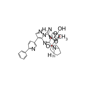 CS(=O)(=O)c1c(C2CC3CC[C@@H](C2)N3C(=O)c2ccc(O)cn2)nc2c(-c3ccc(-c4ccccc4)nc3)cnn2c1N